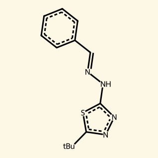 CC(C)(C)c1nnc(NN=Cc2ccccc2)s1